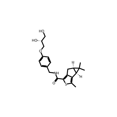 Cc1sc(C(=O)NCc2ccc(OC[C@H](O)CO)cc2)c2c1[C@H]1[C@@H](C2)C1(C)C